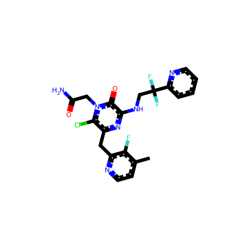 Cc1ccnc(Cc2nc(NCC(F)(F)c3ccccn3)c(=O)n(CC(N)=O)c2Cl)c1F